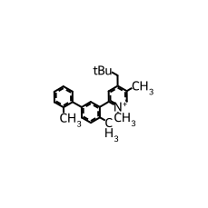 Cc1c[n+](C)c(-c2cc(-c3ccccc3C)ccc2C)cc1CC(C)(C)C